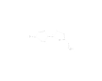 NCC1CCC(c2ccc(Cl)cc2)C1